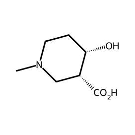 CN1CC[C@H](O)[C@H](C(=O)O)C1